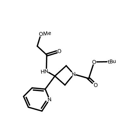 COCC(=O)NC1(c2ccccn2)CN(C(=O)OC(C)(C)C)C1